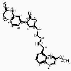 COc1cnc2cccc(CNCCCC3CN(c4ccc5c(c4)NC(=O)CO5)C(=O)O3)c2n1